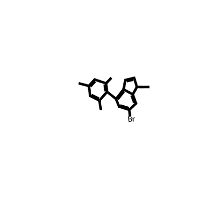 Cc1cc(C)c(-c2cc(Br)cc3c2C=CC3C)c(C)c1